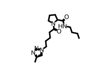 CCCCNC(=O)C1CCCN1C(=O)CCCCn1cc(C)nn1